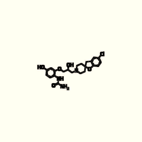 NC(=O)Nc1ccc(O)cc1OC[C@@H](O)CN1CCC2(CC1)Cc1cc(Cl)ccc1O2